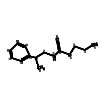 CC(CNC(=O)OCCO)c1ccccc1